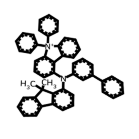 CC1(C)c2ccccc2-c2cccc(N(c3cccc(-c4ccccc4)c3)c3cccc4c3-c3ccccc3[N+]4(c3ccccc3)c3ccccc3)c21